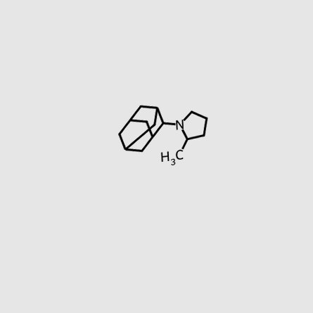 CC1CCCN1C1C2CC3CC(C2)CC1C3